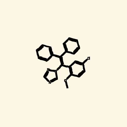 COc1ccc(Cl)cc1C(=C(c1ccccc1)c1ccccc1)n1cncn1